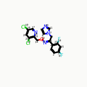 Fc1ccc(/C(Cn2ccnc2)=N/OCc2ncc(Cl)cc2Cl)c(F)c1